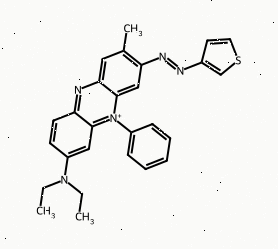 CCN(CC)c1ccc2nc3cc(C)c(N=Nc4ccsc4)cc3[n+](-c3ccccc3)c2c1